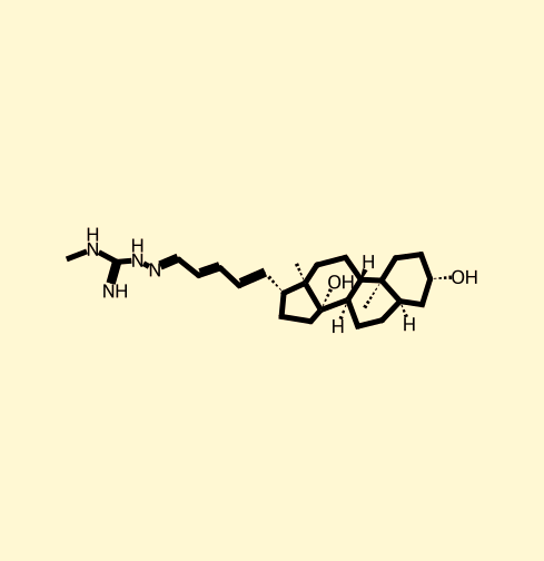 CNC(=N)N/N=C/C=C/C=C/[C@H]1CC[C@]2(O)[C@@H]3CC[C@@H]4C[C@@H](O)CC[C@]4(C)[C@H]3CC[C@]12C